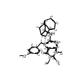 COc1ccc(Cn2c(NC3C4CC5CCCC3C5C4)nc3c2c(=O)n(C)c(=O)n3C)cc1